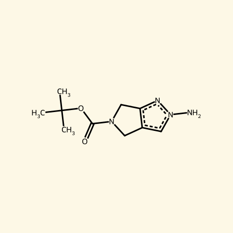 CC(C)(C)OC(=O)N1Cc2cn(N)nc2C1